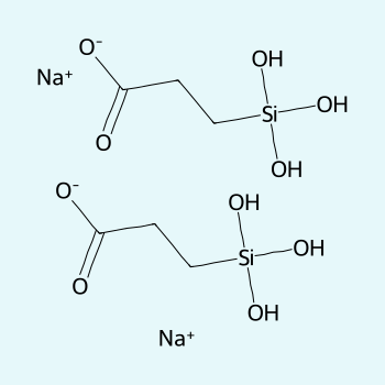 O=C([O-])CC[Si](O)(O)O.O=C([O-])CC[Si](O)(O)O.[Na+].[Na+]